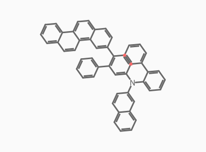 c1ccc(-c2cc(N(c3ccc4ccccc4c3)c3ccccc3-c3ccccc3)ccc2-c2ccc3ccc4c5ccccc5ccc4c3c2)cc1